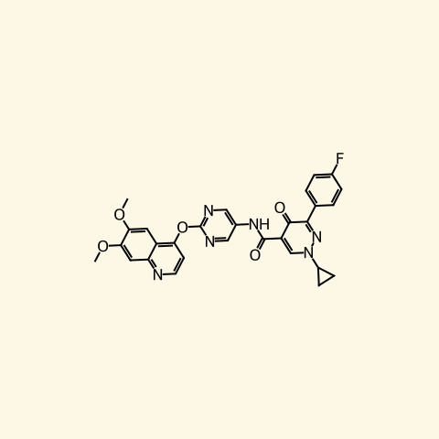 COc1cc2nccc(Oc3ncc(NC(=O)c4cn(C5CC5)nc(-c5ccc(F)cc5)c4=O)cn3)c2cc1OC